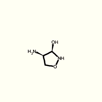 N[C@@H]1CON[C@@H]1O